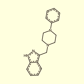 c1ccc(N2CCN(Cc3n[nH]c4ccccc34)CC2)cc1